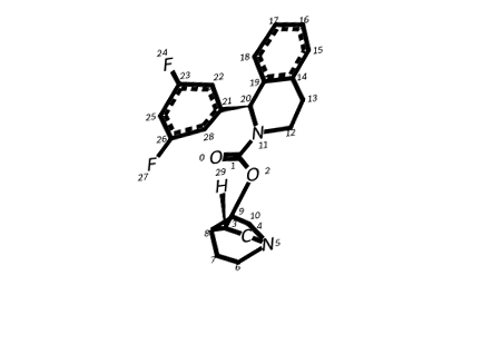 O=C(O[C@@H]1CN2CCC1CC2)N1CCc2ccccc2[C@@H]1c1cc(F)cc(F)c1